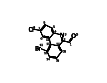 O=Cc1nc2ccc(Cl)cc2c2c(Br)cccc12